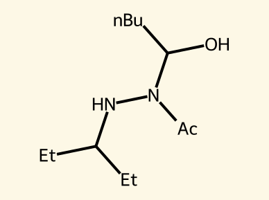 CCCCC(O)N(NC(CC)CC)C(C)=O